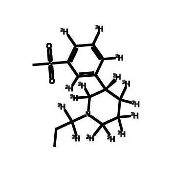 [2H]c1c([2H])c([C@@]2([2H])C([2H])([2H])N(C([2H])([2H])CC)C([2H])([2H])C([2H])([2H])C2([2H])[2H])c([2H])c(S(C)(=O)=O)c1[2H]